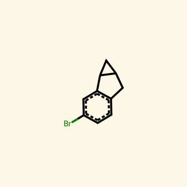 Brc1ccc2c(c1)C1CC1C2